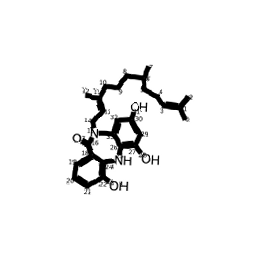 CC(C)=CCCC(C)CCC/C(C)=C/CN1C(=O)c2cccc(O)c2Nc2c(O)cc(O)cc21